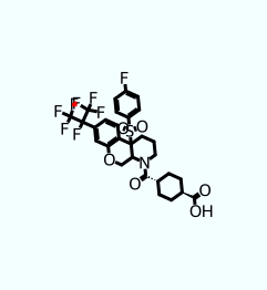 O=C(O)[C@H]1CC[C@H](C(=O)N2CCCC3(S(=O)(=O)c4ccc(F)cc4)c4ccc(C(F)(C(F)(F)F)C(F)(F)F)cc4OCC23)CC1